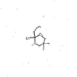 CCC1(CC(C)C)OCC(C)(C)CO1